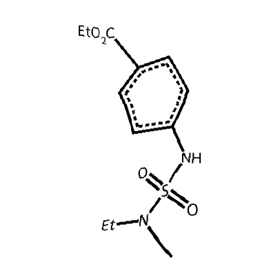 CCOC(=O)c1ccc(NS(=O)(=O)N(C)CC)cc1